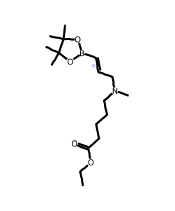 CCOC(=O)CCCCN(C)C/C=C/B1OC(C)(C)C(C)(C)O1